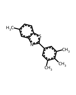 Cc1ccc2sc(-c3cc(C)c(C)c(C)c3)nc2c1